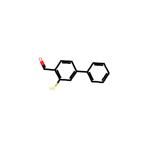 O=[C]c1ccc(-c2ccccc2)cc1S